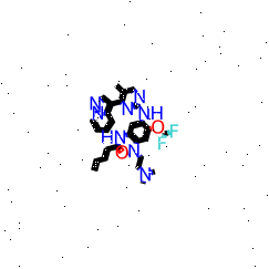 C=C/C=C/C(=O)Nc1cc(Nc2ncc(C)c(-c3cnn4ccccc34)n2)c(OC(F)F)cc1N(C)CCN(C)C